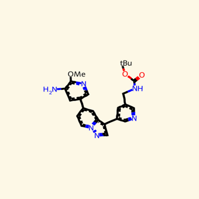 COc1ncc(-c2ccn3ncc(-c4cncc(CNC(=O)OC(C)(C)C)c4)c3c2)cc1N